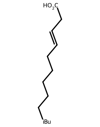 CCC(C)CCCCCC=CCC(=O)O